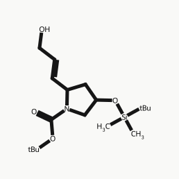 CC(C)(C)OC(=O)N1CC(O[Si](C)(C)C(C)(C)C)CC1/C=C/CO